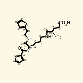 N[C@@H](CCC(=O)O)C(=O)NCCCC[C@@H](NC(=O)c1cccs1)C(=O)NCCc1cccs1